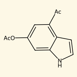 CC(=O)Oc1cc(C(C)=O)c2cc[nH]c2c1